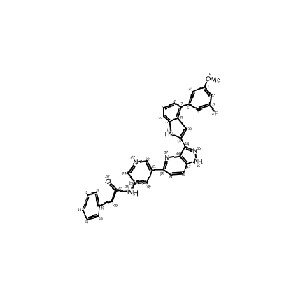 COc1cc(F)cc(-c2cccc3[nH]c(-c4n[nH]c5ccc(-c6cncc(NC(=O)Cc7ccccc7)c6)nc45)cc23)c1